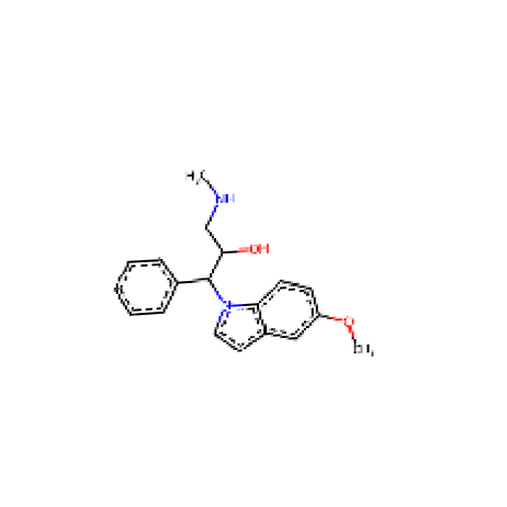 CNCC(O)C(c1ccccc1)n1ccc2cc(OC)ccc21